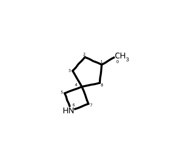 CC1CCC2(CNC2)C1